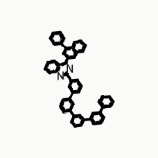 c1ccc(-c2cccc(-c3cccc(-c4cccc(-c5cccc(-c6nc(-c7cc(-c8ccccc8)c8ccccc8c7)c7ccccc7n6)c5)c4)c3)c2)cc1